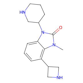 Cn1c(=O)n(C2CCCNC2)c2cccc(C3CNC3)c21